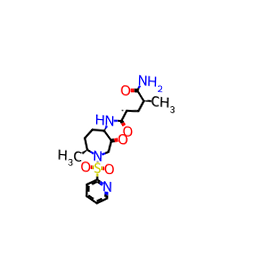 C[C@@H](C[CH]C(=O)N[C@@H]1CC[C@H](C)N(S(=O)(=O)c2ccccn2)CC1=O)C(N)=O